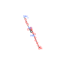 NCCCOCCOCCOCCCNC(=O)c1cc2ccc(OCC(=O)NCCOCCOCCOCCOCCC(=O)O)cc2oc1=O